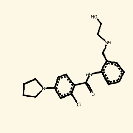 O=C(Nc1ccccc1CNCCO)c1ccc(N2CCCC2)cc1Cl